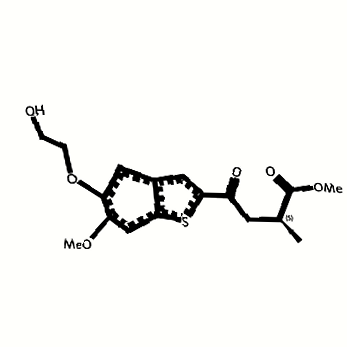 COC(=O)[C@@H](C)CC(=O)c1cc2cc(OCCO)c(OC)cc2s1